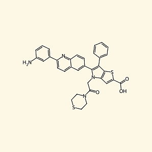 Nc1cccc(-c2ccc3cc(-c4c(-c5ccccc5)c5sc(C(=O)O)cc5n4CC(=O)N4CCSCC4)ccc3n2)c1